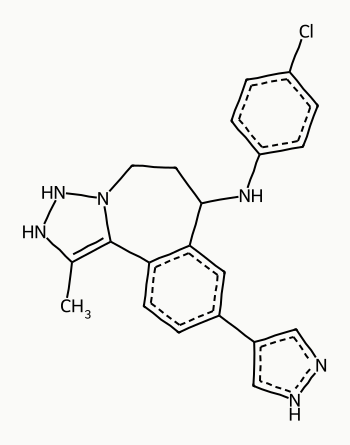 CC1=C2c3ccc(-c4cn[nH]c4)cc3C(Nc3ccc(Cl)cc3)CCN2NN1